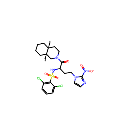 O=C(C(CCn1ccnc1[N+](=O)[O-])NS(=O)(=O)c1c(Cl)cccc1Cl)N1CC[C@H]2CCCC[C@H]2C1